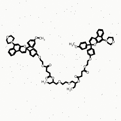 CCC(COCCOCC(CC)OC(=O)CCC(=O)OCCOc1ccc(C2(c3ccc(OC)cc3)C=Cc3c(cc(N4CCOCC4)c4ccccc34)O2)cc1)OC(=O)CCC(=O)OCCOc1ccc(C2(c3ccc(OC)cc3)C=Cc3c(cc(N4CCOCC4)c4ccccc34)O2)cc1